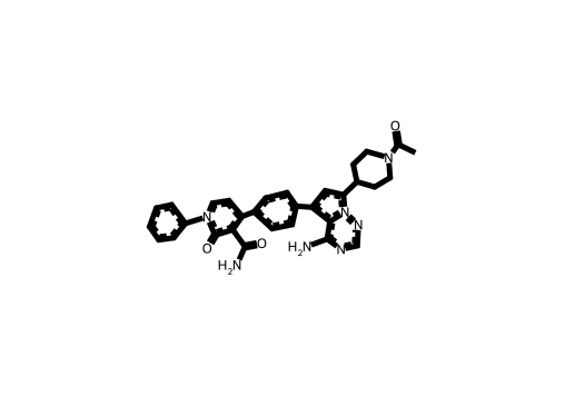 CC(=O)N1CCC(c2cc(-c3ccc(-c4ccn(-c5ccccc5)c(=O)c4C(N)=O)cc3)c3c(N)ncnn23)CC1